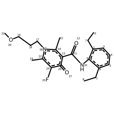 CCc1cccc(CC)c1NC(=O)c1c(C)n(CCCOC)c(C)c(F)c1=O